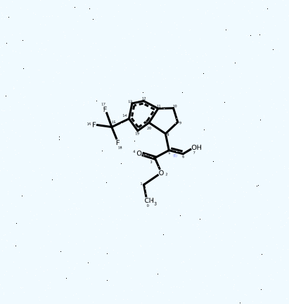 CCOC(=O)/C(=C/O)C1CCc2ccc(C(F)(F)F)cc21